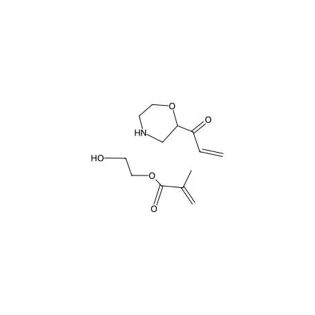 C=C(C)C(=O)OCCO.C=CC(=O)C1CNCCO1